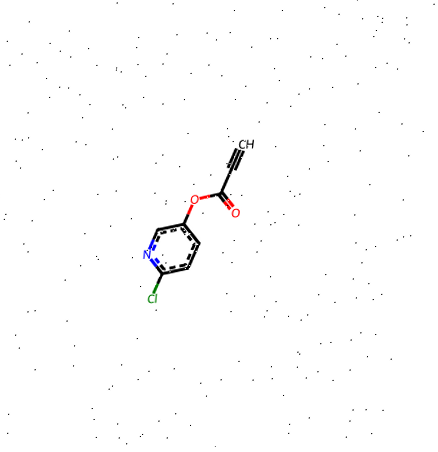 C#CC(=O)Oc1ccc(Cl)nc1